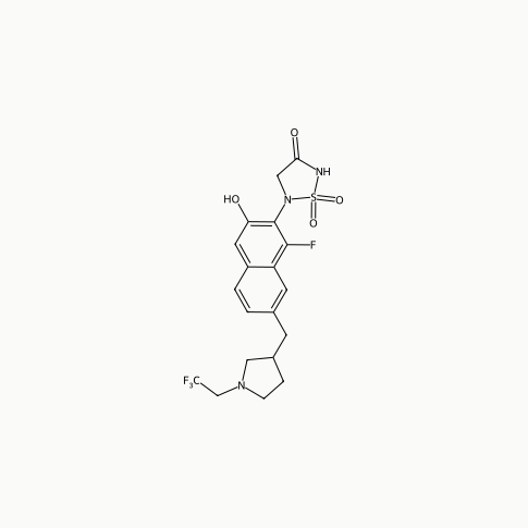 O=C1CN(c2c(O)cc3ccc(CC4CCN(CC(F)(F)F)C4)cc3c2F)S(=O)(=O)N1